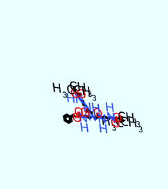 CC(C)(C)OC(=O)NCCNC(=O)CN(CCNC(=O)OCc1ccccc1)CC(=O)NCCNC(=O)OC(C)(C)C